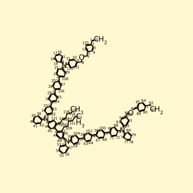 C=Cc1ccc(COCc2ccc(N(c3ccccc3)c3ccc(-c4ccc(-c5ccc(-c6ccc(N(c7ccccc7)c7ccc(-c8ccc(N(c9ccccc9)c9ccc(-c%10ccc(-c%11ccc(-c%12ccc(N(c%13ccccc%13)c%13ccc(COCc%14ccc(C=C)cc%14)cc%13)cc%12)cc%11)cc%10)cc9)cc8CCCCCC)c(CCCCCC)c7)cc6)cc5)cc4)cc3)cc2)cc1